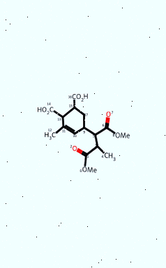 COC(=O)C(C)C(C(=O)OC)C1C=C(C)C(C(=O)O)C(C(=O)O)C1